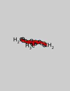 C=CC(=O)OCCOCCOc1ccc(C(=O)Oc2ccc(OC(=O)c3ccc(OCCOCCOC(=O)C=C)cc3)c(C(=O)CC)c2)cc1